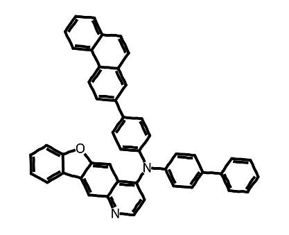 c1ccc(-c2ccc(N(c3ccc(-c4ccc5c(ccc6ccccc65)c4)cc3)c3ccnc4cc5c(cc34)oc3ccccc35)cc2)cc1